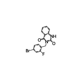 O=c1[nH]c2ccccc2c(=O)n1Cc1ccc(Br)cc1F